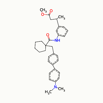 COC(=O)CC(C)c1cccc(NC(=O)C2(Cc3ccc(-c4ccc(N(C)C)cc4)cc3)CCCCC2)c1